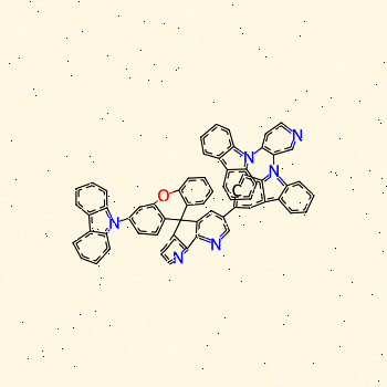 c1ccc2c(c1)Oc1cc(-n3c4ccccc4c4ccccc43)ccc1C21c2cccnc2-c2ncc(-c3ccc4c(c3)c3ccccc3n4-c3cnccc3-n3c4ccccc4c4ccccc43)cc21